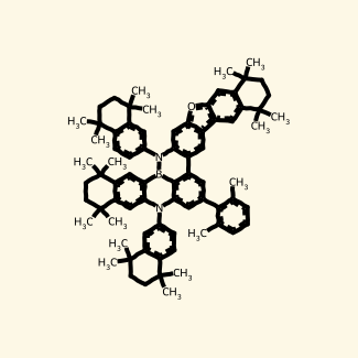 Cc1cccc(C)c1-c1cc2c3c(c1)N(c1ccc4c(c1)C(C)(C)CCC4(C)C)c1cc4c(cc1B3N(c1ccc3c(c1)C(C)(C)CCC3(C)C)c1cc3oc5cc6c(cc5c3cc1-2)C(C)(C)CCC6(C)C)C(C)(C)CCC4(C)C